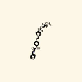 CC(F)(F)COc1nc2c(s1)CCN(CC[C@H]1CC[C@H](NC(=O)/C=C/c3ccncc3)CC1)C2